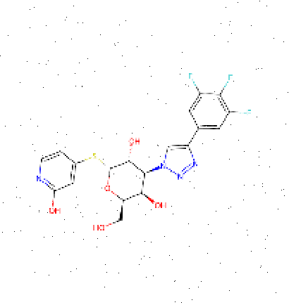 OC[C@H]1O[C@H](Sc2ccnc(O)c2)[C@H](O)[C@@H](n2cc(-c3cc(F)c(F)c(F)c3)nn2)[C@H]1O